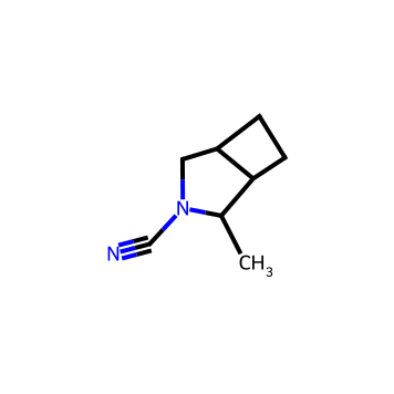 CC1C2CCC2CN1C#N